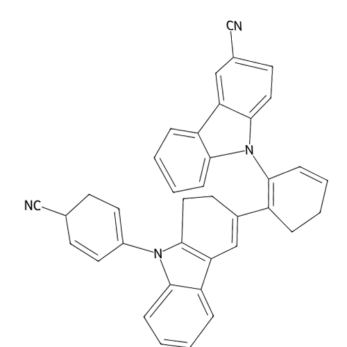 N#Cc1ccc2c(c1)c1ccccc1n2C1=C(C2=Cc3c(n(C4=CCC(C#N)C=C4)c4ccccc34)CC2)CCC=C1